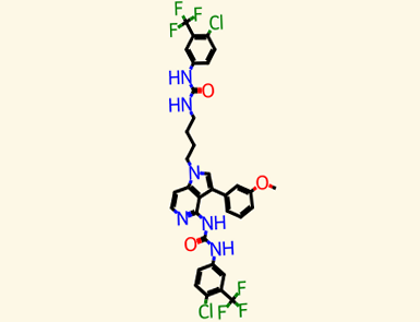 COc1cccc(-c2cn(CCCCNC(=O)Nc3ccc(Cl)c(C(F)(F)F)c3)c3ccnc(NC(=O)Nc4ccc(Cl)c(C(F)(F)F)c4)c23)c1